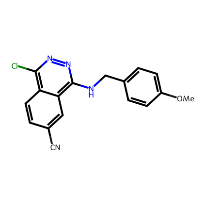 COc1ccc(CNc2nnc(Cl)c3ccc(C#N)cc23)cc1